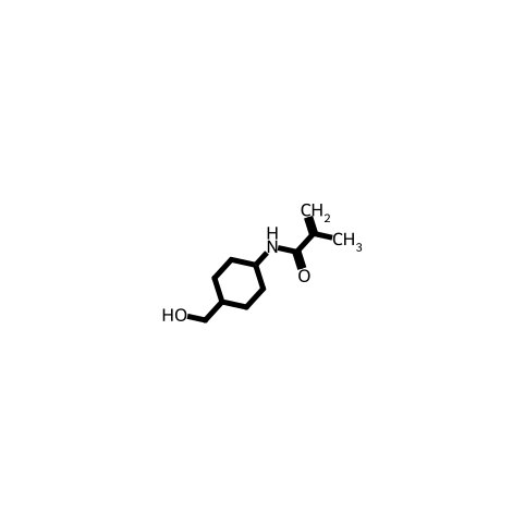 C=C(C)C(=O)NC1CCC(CO)CC1